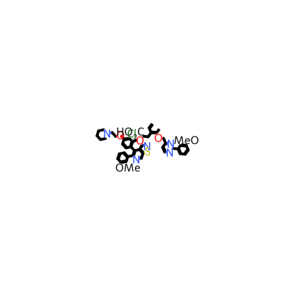 C=C/C(C[C@@H](Oc1nsc2cnc(-c3cccc(OC)c3)c(-c3ccc(OCCN4CCCCC4)c(Cl)c3C)c12)C(=O)O)=C(\C)OCc1ccnc(-c2ccccc2OC)n1